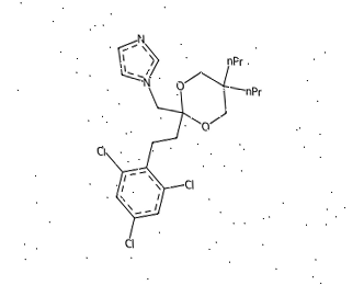 CCCC1(CCC)COC(CCc2c(Cl)cc(Cl)cc2Cl)(Cn2ccnc2)OC1